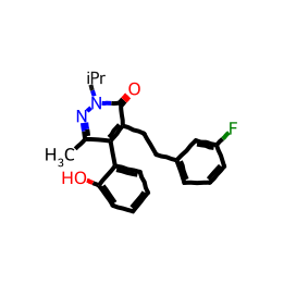 Cc1nn(C(C)C)c(=O)c(CCc2cccc(F)c2)c1-c1ccccc1O